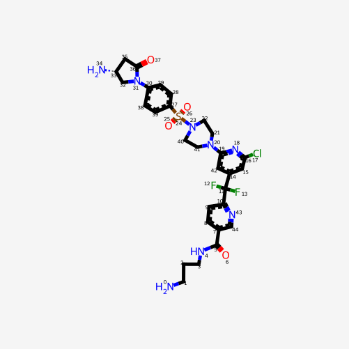 NCCCNC(=O)c1ccc(C(F)(F)c2cc(Cl)nc(N3CCN(S(=O)(=O)c4ccc(N5C[C@H](N)CC5=O)cc4)CC3)c2)nc1